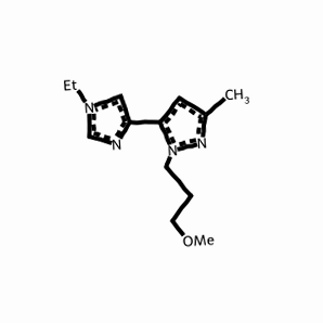 CCn1cnc(-c2cc(C)nn2CCCOC)c1